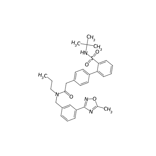 CCCN(Cc1cccc(-c2noc(C)n2)c1)C(=O)Cc1ccc(-c2ccccc2S(=O)(=O)NC(C)(C)C)cc1